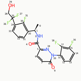 C[C@@H](NC(=O)c1ccc(=O)n(-c2cccc(F)c2F)n1)c1cccc(C(F)(F)CO)c1F